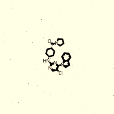 O=C([C@H]1CC[C@H](Nc2ncc(Cl)c(-n3ccc4ccccc43)n2)CC1)N1CCCC1